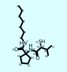 CCCCCCCNC(=O)C1(NC(=O)[C@@H](S)C(C)C)CCCC1